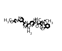 CCn1c(C)c(C(=O)Nc2ccc(-c3nc(-c4ccnc(N5CC(OC)C5)c4)cnc3N)nc2)c(=O)n1-c1ccccc1Cl